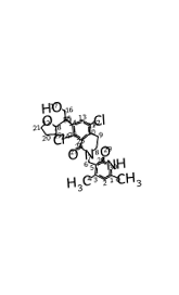 Cc1cc(C)c(CN2CCc3c(Cl)cc([C@H](CO)C4CCCO4)c(Cl)c3C2=O)c(=O)[nH]1